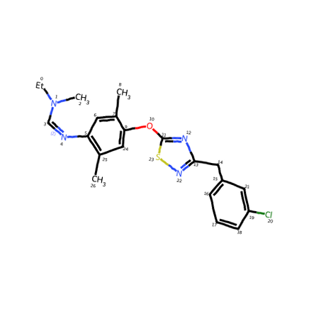 CCN(C)/C=N\c1cc(C)c(Oc2nc(Cc3cccc(Cl)c3)ns2)cc1C